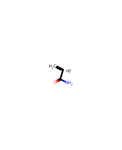 C=CC(N)=O.[Hf]